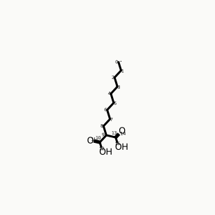 [CH2]CCCCCCCCC(C(=O)O)C(=O)O